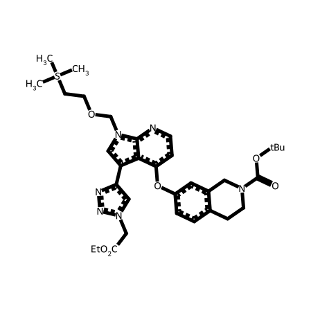 CCOC(=O)Cn1cc(-c2cn(COCCS(C)(C)C)c3nccc(Oc4ccc5c(c4)CN(C(=O)OC(C)(C)C)CC5)c23)nn1